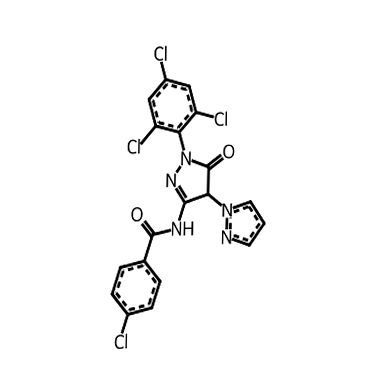 O=C(NC1=NN(c2c(Cl)cc(Cl)cc2Cl)C(=O)C1n1cccn1)c1ccc(Cl)cc1